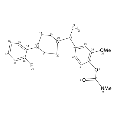 CNC(=O)Oc1ccc(C(C)N2CCN(c3ccccc3F)CC2)cc1OC